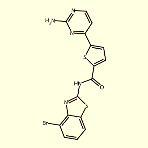 Nc1nccc(-c2ccc(C(=O)Nc3nc4c(Br)cccc4s3)s2)n1